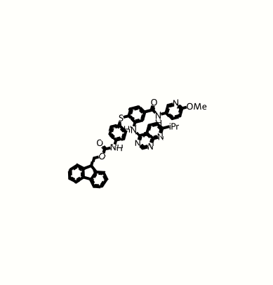 COc1ccc(NC(=O)c2ccc(Sc3ccc(NC(=O)OCC4c5ccccc5-c5ccccc54)cc3)c(Nc3ncnc4nc(C(C)C)ccc34)c2)cn1